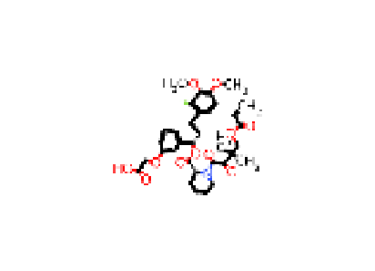 C=CC(=O)OCC(C)(C)C(=O)C(=O)N1CCCC[C@H]1C(=O)O[C@H](CCc1ccc(OC)c(OC)c1F)c1cccc(OCC(=O)O)c1